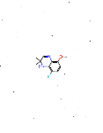 COc1ccc(F)c2c1N=CC(C)(C)N2